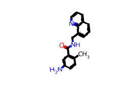 Cc1ccc(N)cc1C(=O)NCc1cccc2cccnc12